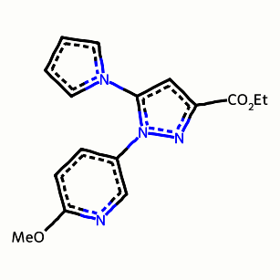 CCOC(=O)c1cc(-n2cccc2)n(-c2ccc(OC)nc2)n1